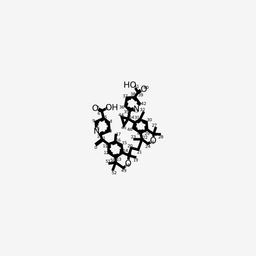 C=C(c1ccc(C(=O)O)cn1)c1cc2c(cc1C)C(C)(CCC1(C)COC(C)(C)c3cc(C)c(C4(c5ccc(C(=O)O)cn5)CC4)cc31)OCC2(C)C